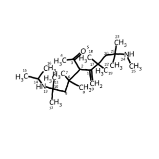 C=C(C(C(C)=O)C(C)(C)CC(C)(C)NC(C)C)C(C)(C)CC(C)(C)NC